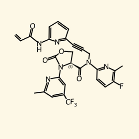 C=CC(=O)Nc1cccc(C#CCN(C(=O)[C@@H]2COC(=O)N2c2cc(C(F)(F)F)cc(C)n2)c2ccc(F)c(C)n2)n1